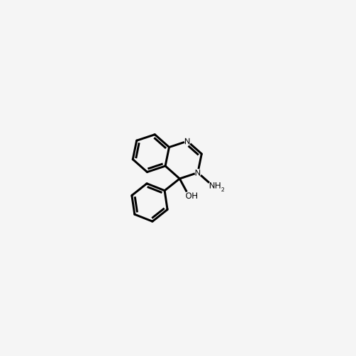 NN1C=Nc2ccccc2C1(O)c1ccccc1